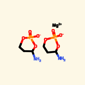 NC1CCOP(=O)([O-])O1.NC1CCOP(=O)([O-])O1.[Mg+2]